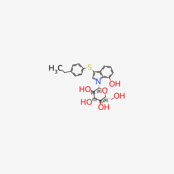 CCc1ccc(Sc2cn([C@@H]3O[C@H](CO)[C@@H](O)[C@H](O)[C@H]3O)c3c(O)cccc23)cc1